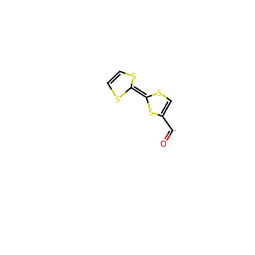 O=[C]C1=CSC(=C2SC=CS2)S1